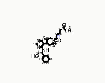 CN(C)C/C=C/C(=O)N1Cc2sc3ncnc(N[C@H](CO)c4ccccc4)c3c2CC1(F)F